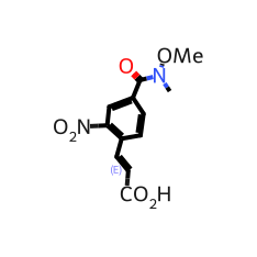 CON(C)C(=O)c1ccc(/C=C/C(=O)O)c([N+](=O)[O-])c1